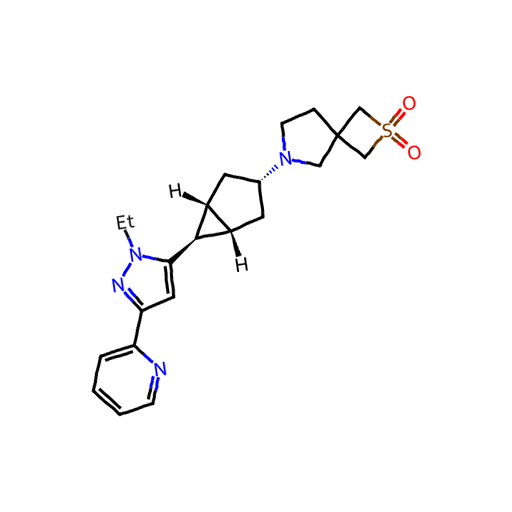 CCn1nc(-c2ccccn2)cc1[C@H]1[C@@H]2C[C@H](N3CCC4(C3)CS(=O)(=O)C4)C[C@@H]21